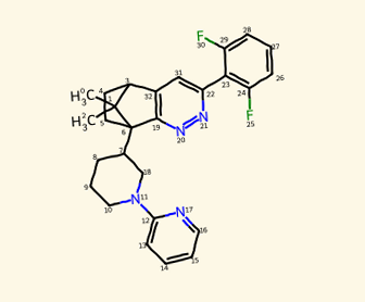 CC1(C)C2CCC1(C1CCCN(c3ccccn3)C1)c1nnc(-c3c(F)cccc3F)cc12